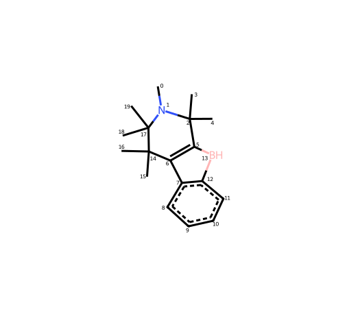 CN1C(C)(C)C2=C(c3ccccc3B2)C(C)(C)C1(C)C